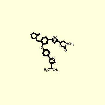 CC(C)c1nnc(-c2ccc(Oc3cc(-c4noc(C5CN(C)C(=O)O5)n4)ccc3CN3CCCC3=O)cc2)s1